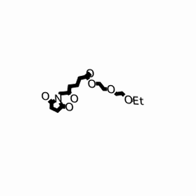 CCOCCOCCOC(=O)CCCC(=O)CN1C(=O)CCC1=O